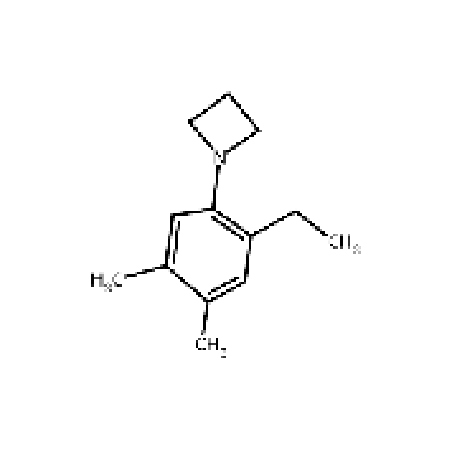 CCc1cc(C)c(C)cc1N1CCC1